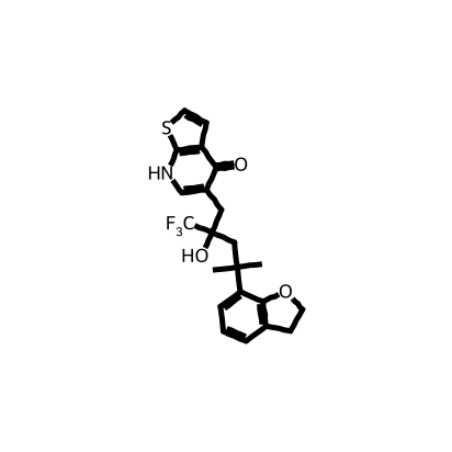 CC(C)(CC(O)(Cc1c[nH]c2sccc2c1=O)C(F)(F)F)c1cccc2c1OCC2